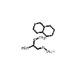 C1CCC2CCCCC2C1.CCCCCCCCC(COC(=O)O)OC(=O)O